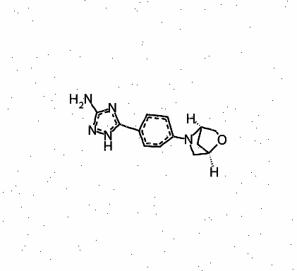 Nc1n[nH]c(-c2ccc(N3C[C@H]4C[C@@H]3CO4)cc2)n1